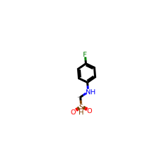 O=[SH](=O)[CH]Nc1ccc(F)cc1